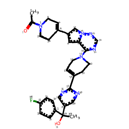 CC(=O)N1CC=C(c2cc3c(N4CC=C(c5ncc(C(C)(O)c6ccc(F)cc6)cn5)CC4)ncnn3c2)CC1